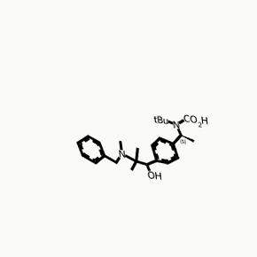 C[C@@H](c1ccc(C(O)C(C)(C)N(C)Cc2ccccc2)cc1)N(C(=O)O)C(C)(C)C